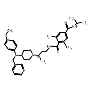 COc1ccc(N(Cc2cccnc2)C2CCN([C@H](C)CCNC(=O)c3c(C)cc(C(=O)NC(C)C)cc3C)CC2)cc1